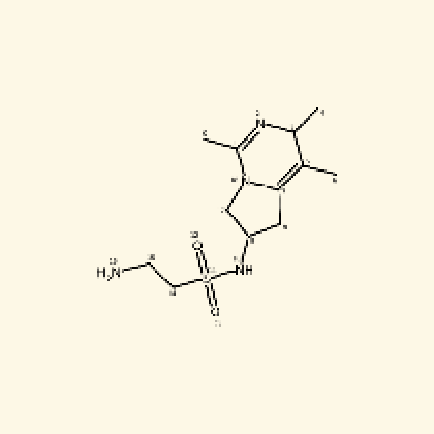 CC1=NC(C)C(C)=C2CC(NS(=O)(=O)CCN)CN12